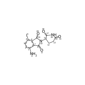 Nc1ccc(I)c2c1C(=O)N(C1CCC(=O)NC1=O)C2=O